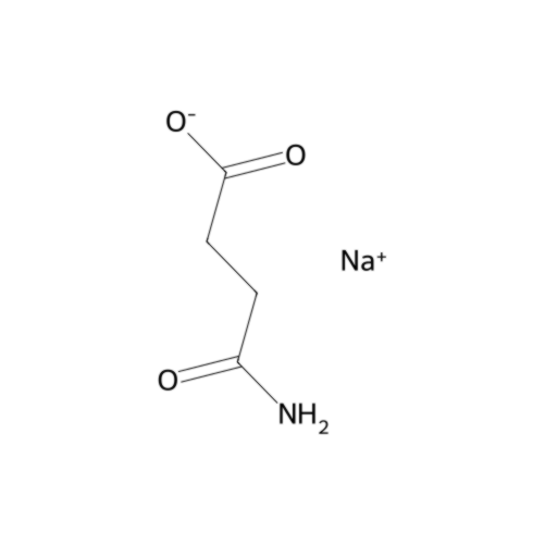 NC(=O)CCC(=O)[O-].[Na+]